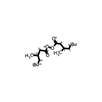 CCC(C)CC(C)CC(=O)OOC(=O)CC(C)CC(C)CC